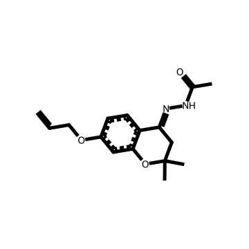 C=CCOc1ccc2c(c1)OC(C)(C)C/C2=N\NC(C)=O